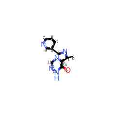 Cc1nc(-c2cccnc2)n2cn[nH]c(=O)c12